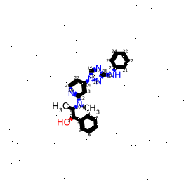 CC(C(O)c1ccccc1)N(C)c1cc(-n2cnc(Nc3ccccc3)n2)ccn1